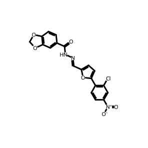 O=C(N/N=C/c1ccc(-c2ccc([N+](=O)[O-])cc2Cl)o1)c1ccc2c(c1)OCO2